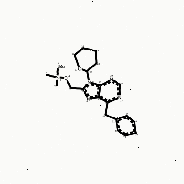 CC(C)(C)[Si](C)(C)OCc1nc2c(Cc3ccccc3)ncnc2n1C1CCCCO1